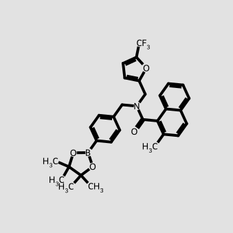 Cc1ccc2ccccc2c1C(=O)N(Cc1ccc(B2OC(C)(C)C(C)(C)O2)cc1)Cc1ccc(C(F)(F)F)o1